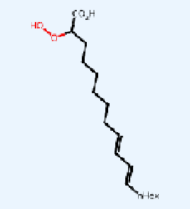 CCCCCCC=CC=CCCCCCCC(OO)C(=O)O